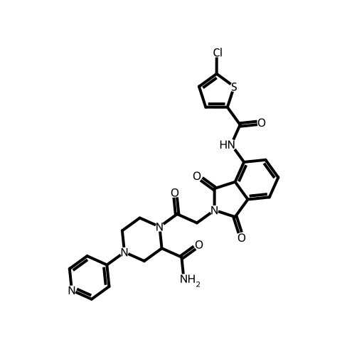 NC(=O)C1CN(c2ccncc2)CCN1C(=O)CN1C(=O)c2cccc(NC(=O)c3ccc(Cl)s3)c2C1=O